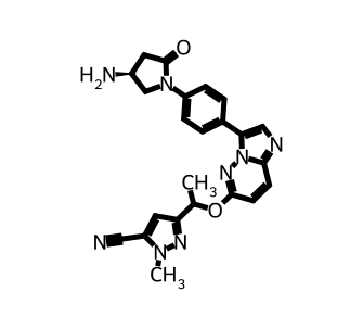 CC(Oc1ccc2ncc(-c3ccc(N4C[C@@H](N)CC4=O)cc3)n2n1)c1cc(C#N)n(C)n1